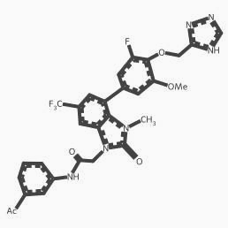 COc1cc(-c2cc(C(F)(F)F)cc3c2n(C)c(=O)n3CC(=O)Nc2cccc(C(C)=O)c2)cc(F)c1OCc1nnc[nH]1